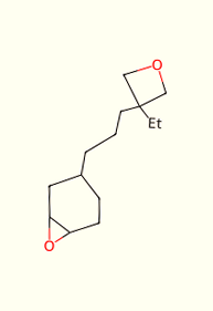 CCC1(CCCC2CCC3OC3C2)COC1